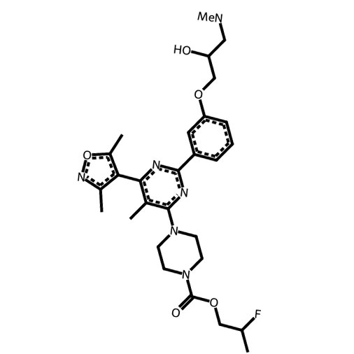 CNCC(O)COc1cccc(-c2nc(-c3c(C)noc3C)c(C)c(N3CCN(C(=O)OCC(C)F)CC3)n2)c1